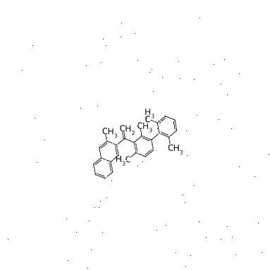 C=C(c1cc2ccccc2cc1C)c1c(C)ccc(-c2c(C)cccc2C)c1C